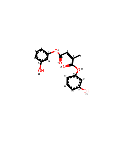 C/C(=C/C(=O)Oc1cccc(O)c1)C(=O)Oc1cccc(O)c1